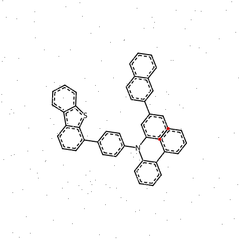 c1ccc(-c2ccccc2N(c2ccc(-c3cccc4c3sc3ccccc34)cc2)c2cccc(-c3ccc4ccccc4c3)c2)cc1